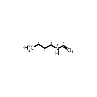 [CH2]CCCNC=O